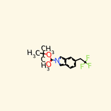 CC(C)(C)OC(=O)n1cc2ccc(CC(F)(F)F)cc2c1